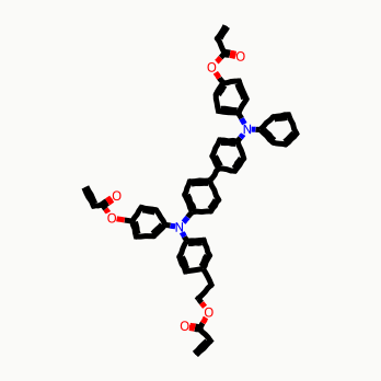 C=CC(=O)OCCc1ccc(N(c2ccc(OC(=O)C=C)cc2)c2ccc(-c3ccc(N(c4ccccc4)c4ccc(OC(=O)C=C)cc4)cc3)cc2)cc1